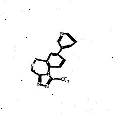 FC(F)(F)c1nnc2n1-c1ccc(-c3cccnc3)cc1CCC2